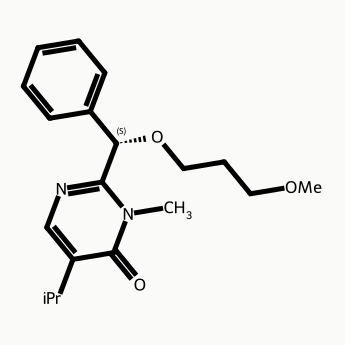 COCCCO[C@@H](c1ccccc1)c1ncc(C(C)C)c(=O)n1C